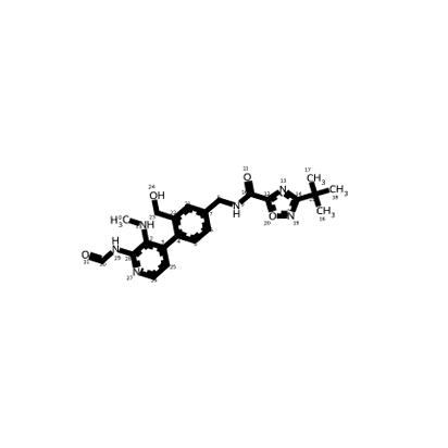 CNc1c(-c2ccc(CNC(=O)c3nc(C(C)(C)C)no3)cc2CO)ccnc1NC=O